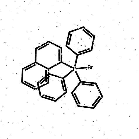 BrP(c1ccccc1)(c1ccccc1)(c1ccccc1)c1cccc2ccccc12